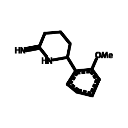 COc1ccccc1C1CCCC(=N)N1